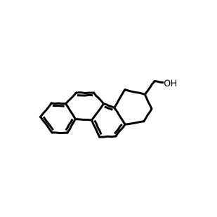 OCC1CCc2ccc3c(ccc4ccccc43)c2C1